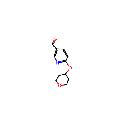 O=Cc1ccc(OC2CCOCC2)nc1